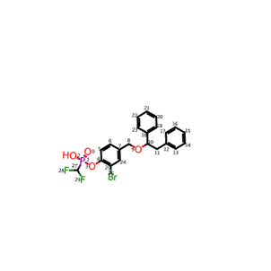 O=P(O)(Oc1ccc(COC(Cc2ccccc2)c2ccccc2)cc1Br)C(F)F